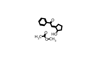 COC(C)=O.O=C(/C=C1\CCCC1O)c1ccccc1